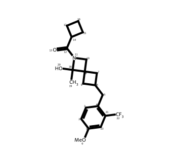 COc1ccc(CC2CC3(C2)CN(C(=O)C2CCC2)C3(C)O)c(C(F)(F)F)c1